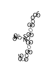 C=CC(=O)OCOc1ccc(OC(=O)C2CCC(C(=O)Oc3ccc(OC(=O)C4CCC(C(=O)Oc5ccc(OC(C)(C)CC(C)(C)OC(=O)C=C)cc5)CC4)c4nc(-c5ccc([N+](=O)[O-])cc5)sc34)CC2)cc1